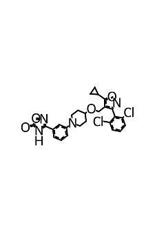 O=c1[nH]c(-c2cccc(N3CCC(OCc4c(-c5c(Cl)cccc5Cl)noc4C4CC4)CC3)c2)no1